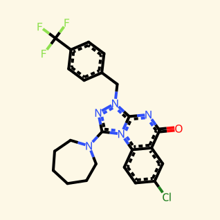 O=c1nc2n(Cc3ccc(C(F)(F)F)cc3)nc(N3CCCCCC3)n2c2ccc(Cl)cc12